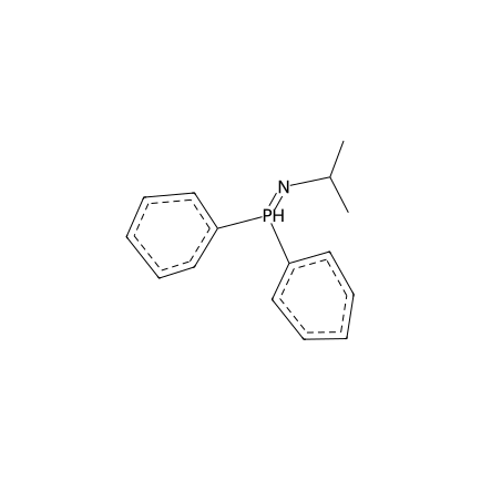 CC(C)N=[PH](c1ccccc1)c1ccccc1